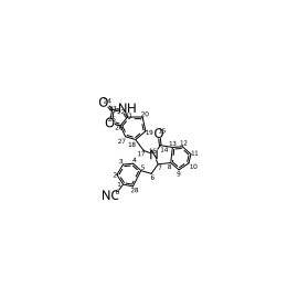 N#Cc1cccc(CC2c3ccccc3C(=O)N2Cc2ccc3[nH]c(=O)oc3c2)c1